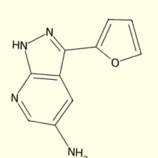 Nc1cnc2[nH]nc(-c3ccco3)c2c1